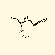 CCCN(CCC)PN=P.O